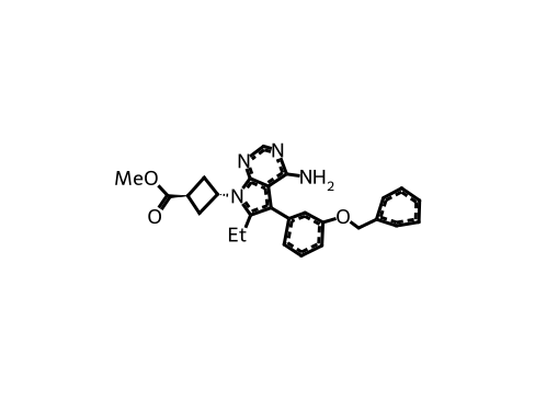 CCc1c(-c2cccc(OCc3ccccc3)c2)c2c(N)ncnc2n1[C@H]1C[C@H](C(=O)OC)C1